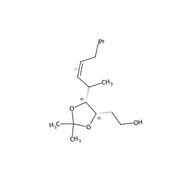 CC(C)C/C=C\C(C)[C@H]1OC(C)(C)O[C@H]1CCO